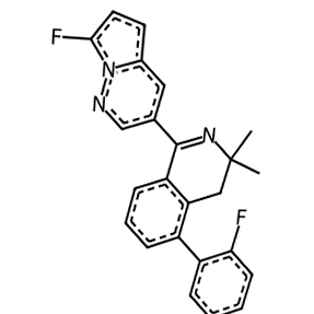 CC1(C)Cc2c(cccc2-c2ccccc2F)C(c2cnn3c(F)ccc3c2)=N1